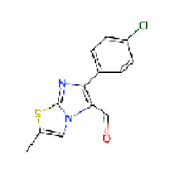 Cc1cn2c(C=O)c(-c3ccc(Cl)cc3)nc2s1